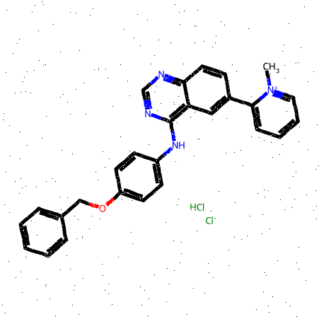 C[n+]1ccccc1-c1ccc2ncnc(Nc3ccc(OCc4ccccc4)cc3)c2c1.Cl.[Cl-]